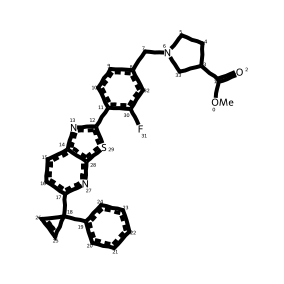 COC(=O)C1CCN(Cc2ccc(-c3nc4ccc(C5(c6ccccc6)C=C5)nc4s3)c(F)c2)C1